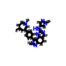 CC1=CC(c2ccc(-c3c4c(nn3C)CCc3cnc(Nc5cnn(C)c5)nc3-4)cc2)=CN(C)CC1